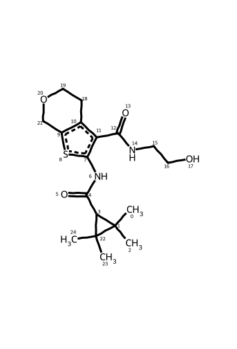 CC1(C)C(C(=O)Nc2sc3c(c2C(=O)NCCO)CCOC3)C1(C)C